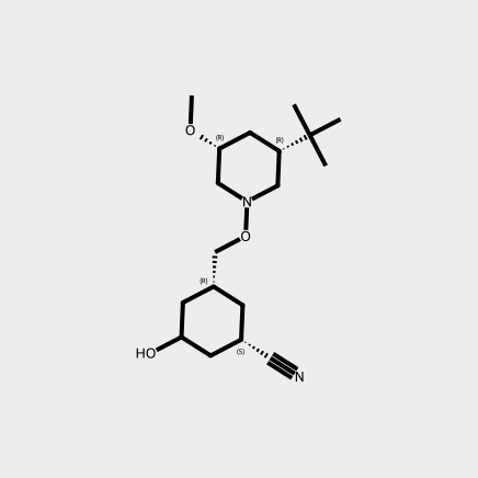 CO[C@@H]1C[C@H](C(C)(C)C)CN(OC[C@H]2CC(O)C[C@@H](C#N)C2)C1